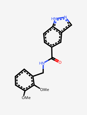 COc1cccc(CNC(=O)c2ccc3[nH]ncc3c2)c1OC